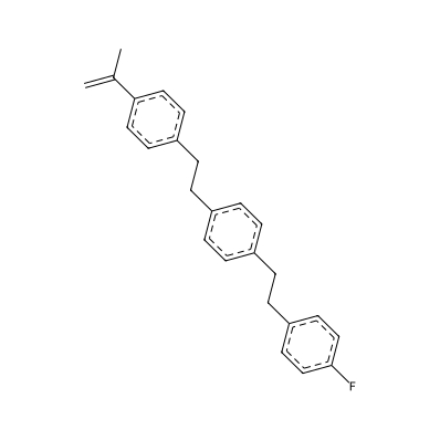 C=C(C)c1ccc(CCc2ccc(CCc3ccc(F)cc3)cc2)cc1